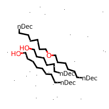 CCCCCCCCCCCCCCCCCCO.CCCCCCCCCCCCCCCCO.CCCCCCCCCCCCCCCCOCCCCCCCCCCCCCCCC